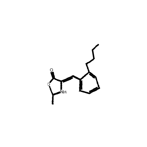 CCCCc1ccccc1/C=C1\NC(C)OC1=O